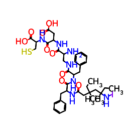 CCC(C)(CC(=O)NC(Cc1ccccc1)C(=O)NC(Cc1ccccc1)C(=O)NCC(N)C(=O)NC(CC(=O)O)C(=O)NC(CS)C(=O)O)CC(C)(CC)NI